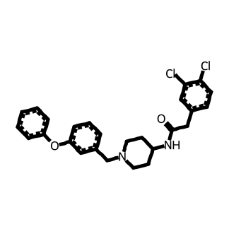 O=C(Cc1ccc(Cl)c(Cl)c1)NC1CCN(Cc2cccc(Oc3ccccc3)c2)CC1